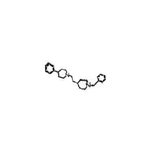 c1ccc(CN2CCC(CCN3CCC(c4ccccc4)CC3)CC2)cc1